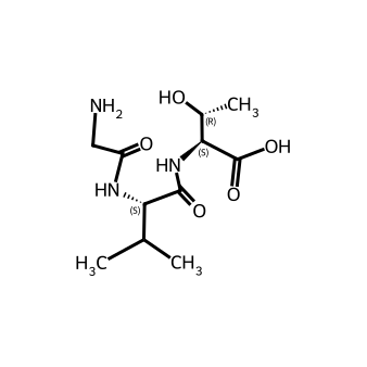 CC(C)[C@H](NC(=O)CN)C(=O)N[C@H](C(=O)O)[C@@H](C)O